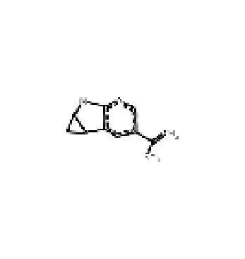 C=C(C)c1cnc2c(c1)C1CC1N2